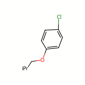 [CH2]C(C)COc1ccc(Cl)cc1